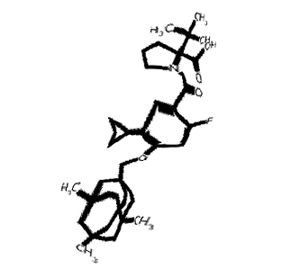 CC12CC3(C)CC(C)(C1)CC(COc1cc(F)c(C(=O)N4CCCC4(C(=O)O)C(C)(C)C)cc1C1CC1)(C2)C3